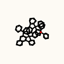 c1ccc(N(c2ccccc2)c2ccc3c(c2)-c2ccccc2C32c3ccccc3-c3c2c(N(c2ccccc2)c2ccc4c(c2)-c2ccccc2C4(c2ccccc2)c2ccccc2)cc2ccccc32)cc1